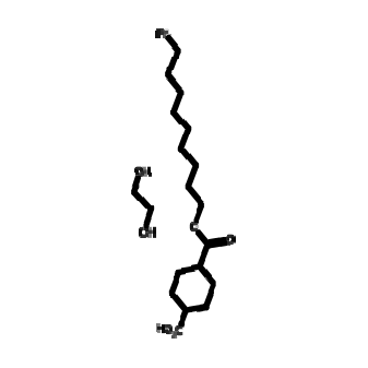 CC(C)CCCCCCCCCOC(=O)C1CCC(C(=O)O)CC1.OCCO